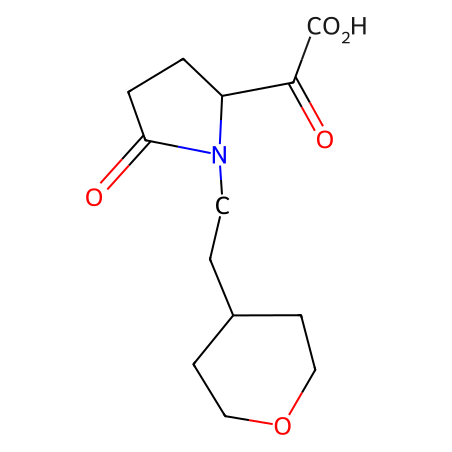 O=C(O)C(=O)C1CCC(=O)N1CCC1CCOCC1